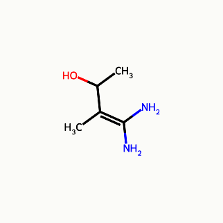 CC(=C(N)N)C(C)O